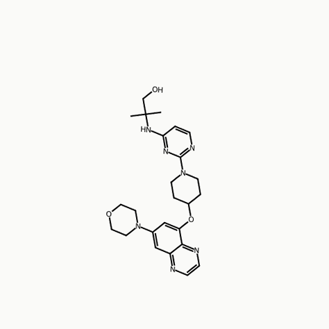 CC(C)(CO)Nc1ccnc(N2CCC(Oc3cc(N4CCOCC4)cc4nccnc34)CC2)n1